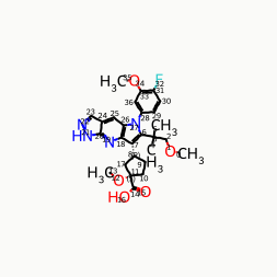 COCC(C)(C)c1c([C@@H]2CC[C@@](OC)(C(=O)O)C2)c2nc3[nH]ncc3cc2n1-c1ccc(F)c(OC)c1